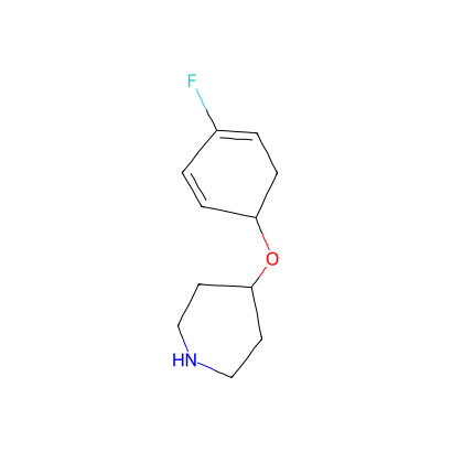 FC1=CCC(OC2CCNCC2)C=C1